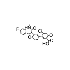 CNC(=O)c1c(-c2ccc(F)cc2)oc2ccc(-c3cc(C(=O)O)c(OC)cc3Cl)cc12